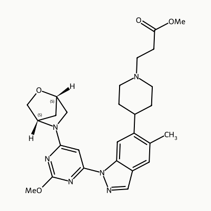 COC(=O)CCN1CCC(c2cc3c(cnn3-c3cc(N4C[C@@H]5C[C@H]4CO5)nc(OC)n3)cc2C)CC1